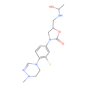 CC(O)NCC1CN(c2ccc(N3C=NN(C)CC3)c(F)c2)C(=O)O1